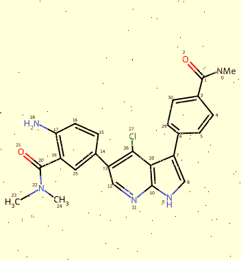 CNC(=O)c1ccc(-c2c[nH]c3ncc(-c4ccc(N)c(C(=O)N(C)C)c4)c(Cl)c23)cc1